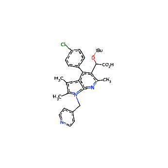 Cc1nc2c(c(C)c(C)n2Cc2ccncc2)c(-c2ccc(Cl)cc2)c1C(OC(C)(C)C)C(=O)O